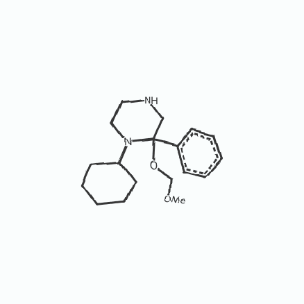 COCOC1(c2ccccc2)CNCCN1C1CCCCC1